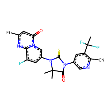 CCc1cc(=O)n2cc(N3C(=S)N(c4cnc(C#N)c(C(C)(F)F)c4)C(=O)C3(C)C)cc(F)c2n1